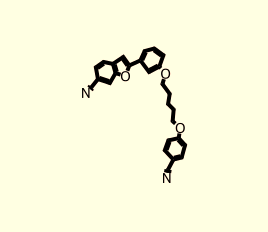 N#Cc1ccc(OCCCCCOc2cccc(-c3cc4ccc(C#N)cc4o3)c2)cc1